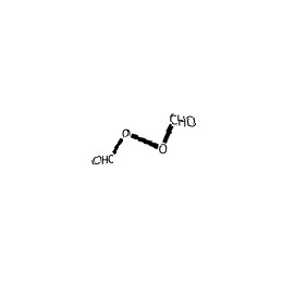 O=COOC=O